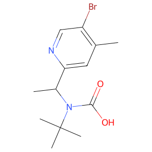 Cc1cc(C(C)N(C(=O)O)C(C)(C)C)ncc1Br